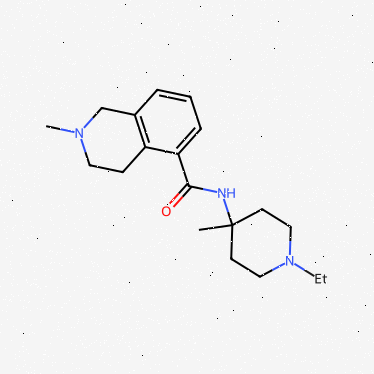 CCN1CCC(C)(NC(=O)c2cccc3c2CCN(C)C3)CC1